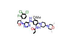 C=CC(=O)Nc1cc(Nc2cc(N3OCC[C@@H]3c3ccc(Cl)c(Cl)c3F)ncn2)c(OC)cc1N1CCC(N2C[C@@H](C)O[C@@H](C)C2)CC1